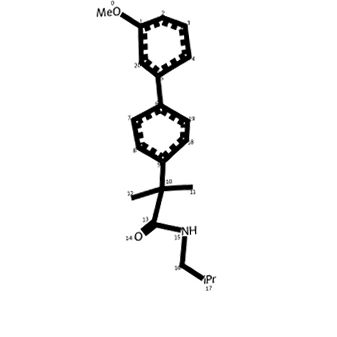 COc1cccc(-c2ccc(C(C)(C)C(=O)NCC(C)C)cc2)c1